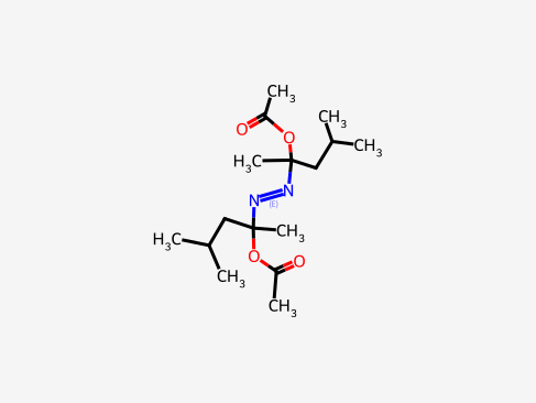 CC(=O)OC(C)(CC(C)C)/N=N/C(C)(CC(C)C)OC(C)=O